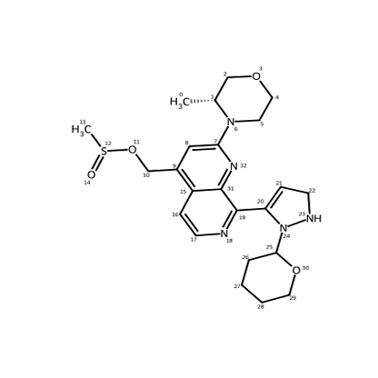 C[C@@H]1COCCN1c1cc(COS(C)=O)c2ccnc(C3=CCNN3C3CCCCO3)c2n1